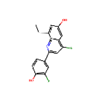 CCc1cc(O)cc2c(Br)cc(-c3ccc(O)c(F)c3)nc12